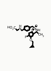 CC(NS(=O)(=O)Cc1ccc(CNCC(=O)O)cc1)c1ccc(F)c(OCC2CC2)c1